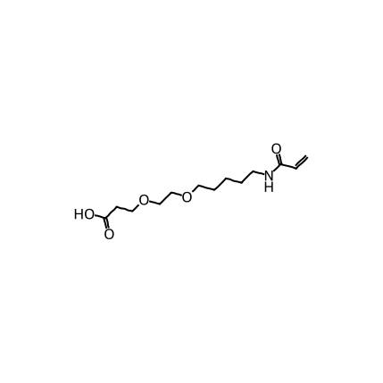 C=CC(=O)NCCCCCOCCOCCC(=O)O